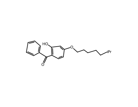 CC(C)CCCCCOc1ccc(C(=O)c2ccccc2)c(O)c1